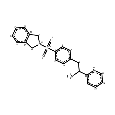 NC(Cc1ccc(S(=O)(=O)N2Cc3ccccc3C2)cc1)c1ccccn1